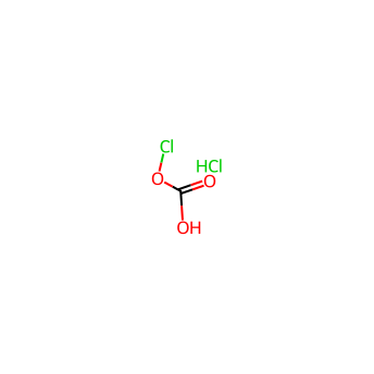 Cl.O=C(O)OCl